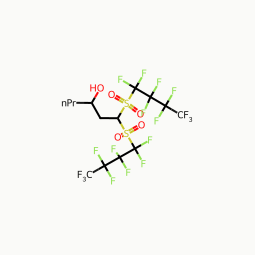 CCCC(O)CC(S(=O)(=O)C(F)(F)C(F)(F)C(F)(F)C(F)(F)F)S(=O)(=O)C(F)(F)C(F)(F)C(F)(F)C(F)(F)F